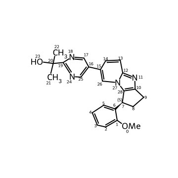 COc1ccccc1[C@@H]1CCc2nc3ccc(-c4cnc(C(C)(C)O)nc4)cn3c21